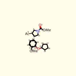 COC(=O)N1C[C@H](C(C)=O)[C@@H](c2ccc(OC)c(OC3CCCC3)c2)C1